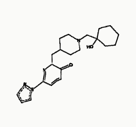 O=C1C=CC(n2cccn2)=NC1CC1CCN(CC2(O)CCCCC2)CC1